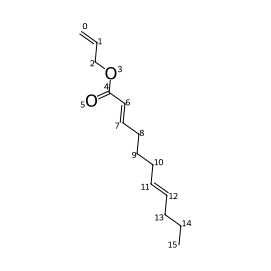 C=CCOC(=O)C=CCCCC=CCCC